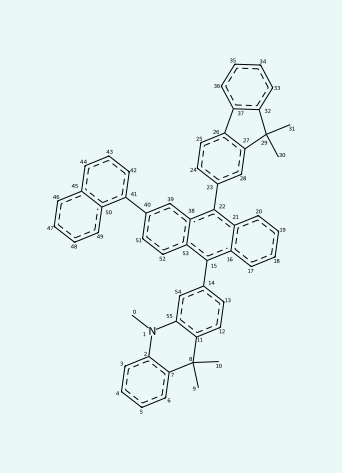 CN1c2ccccc2C(C)(C)c2ccc(-c3c4ccccc4c(-c4ccc5c(c4)C(C)(C)c4ccccc4-5)c4cc(-c5cccc6ccccc56)ccc34)cc21